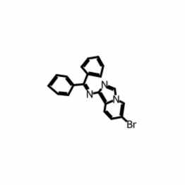 Brc1ccc2c(N=C(c3ccccc3)c3ccccc3)ncn2c1